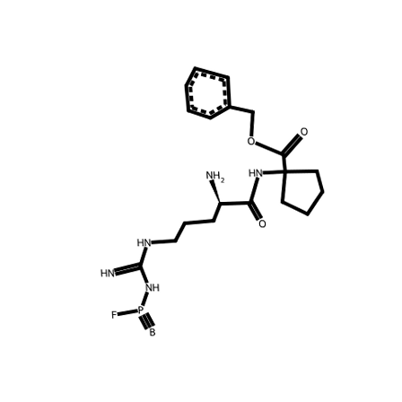 B#P(F)NC(=N)NCCC[C@@H](N)C(=O)NC1(C(=O)OCc2ccccc2)CCCC1